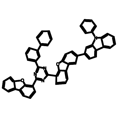 c1ccc(-c2cccc(-c3nc(-c4cccc5c4oc4ccccc45)nc(-c4cccc5c4oc4ccc(-c6ccc7c8ccccc8n(-c8ccccc8)c7c6)cc45)n3)c2)cc1